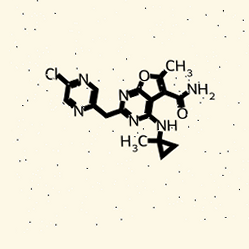 Cc1oc2nc(Cc3cnc(Cl)cn3)nc(NC3(C)CC3)c2c1C(N)=O